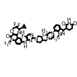 CC1CN(c2cccc3c(C4CCC(=O)NC4=O)nn(C)c23)CCN1CC1CCN(c2ncc(F)c(Nc3ccc4c(c3)c3c(c(=O)n4C)OCC(F)(F)C(C4CC4)N3)n2)CC1